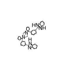 O=C(c1cccc(-c2nc3ccccc3[nH]2)c1)N1CCN(C(=O)c2cccc(C3Nc4ccccc4N3)c2)CC1